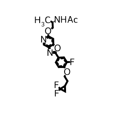 CC(=O)N[C@@H](C)COc1cc2oc(-c3ccc(OCCC4CC4(F)F)c(F)c3)nc2cn1